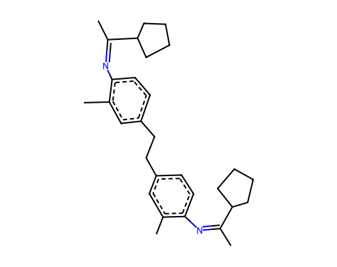 CC(=Nc1ccc(CCc2ccc(N=C(C)C3CCCC3)c(C)c2)cc1C)C1CCCC1